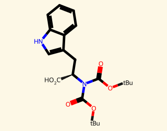 CC(C)(C)OC(=O)N(C(=O)OC(C)(C)C)[C@H](Cc1c[nH]c2ccccc12)C(=O)O